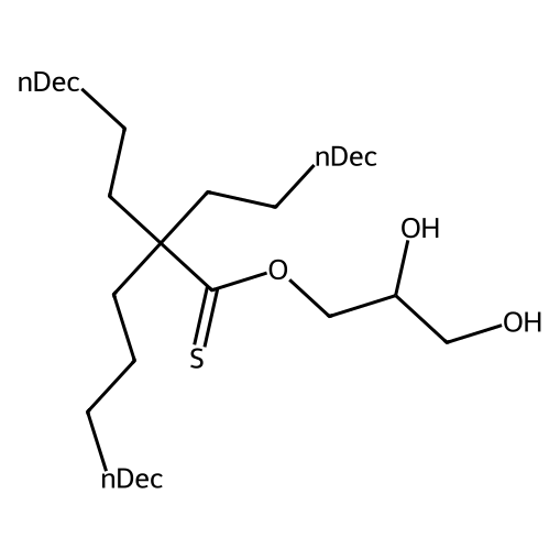 CCCCCCCCCCCCCC(CCCCCCCCCCCC)(CCCCCCCCCCCC)C(=S)OCC(O)CO